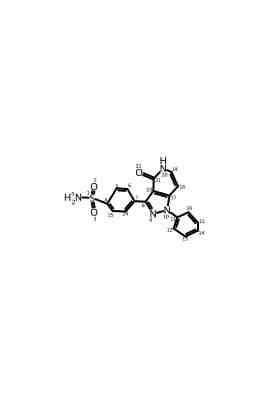 NS(=O)(=O)c1ccc(-c2nn(-c3ccccc3)c3cc[nH]c(=O)c23)cc1